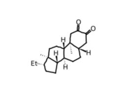 CC[C@H]1CC[C@H]2[C@@H]3CC[C@H]4CC(=O)C(=O)C[C@]4(C)[C@H]3CC[C@]12C